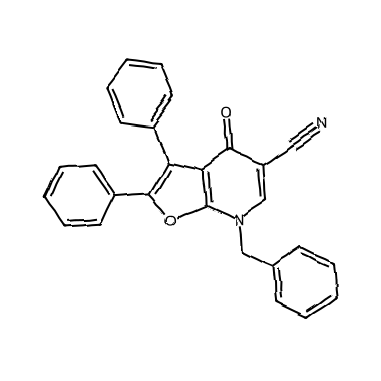 N#Cc1cn(Cc2ccccc2)c2oc(-c3ccccc3)c(-c3ccccc3)c2c1=O